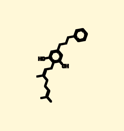 CC(C)=CCCC(C)=CCc1c(O)cc(CCCc2ccccc2)cc1O